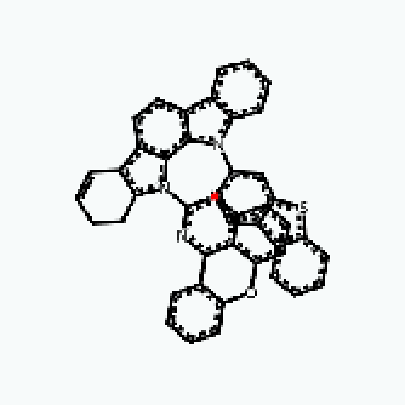 C1=Cc2c(n(-c3nc4c5c(cccc5n3)Oc3ccccc3-4)c3c2ccc2c4ccccc4n(-c4ccc5c(c4)sc4ccccc45)c23)CC1